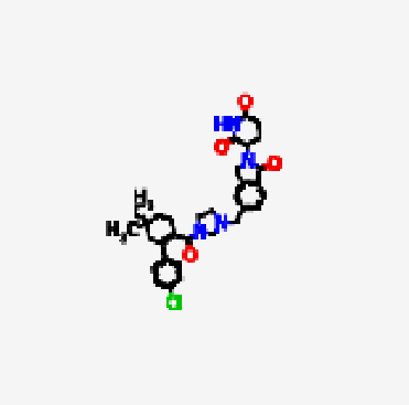 CC1(C)CCC(C(=O)N2CCN(Cc3ccc4c(c3)CN(C3CCC(=O)NC3=O)C4=O)C2)=C(c2ccc(Cl)cc2)C1